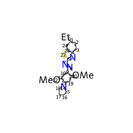 CCc1ccc2nc(/N=N/c3cc(OC)c(N4CCCC4)cc3OC)sc2c1